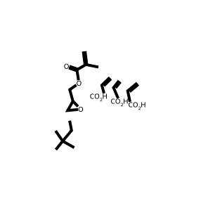 C=C(C)C(=O)OCC1CO1.C=CC(=O)O.C=CC(=O)O.C=CC(=O)O.CCC(C)(C)C